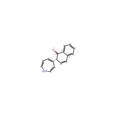 C1=CC=CNC=C1.O=C1CC=Cc2ccccc21